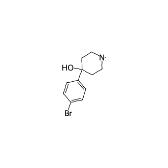 OC1(c2ccc(Br)cc2)CC[N]CC1